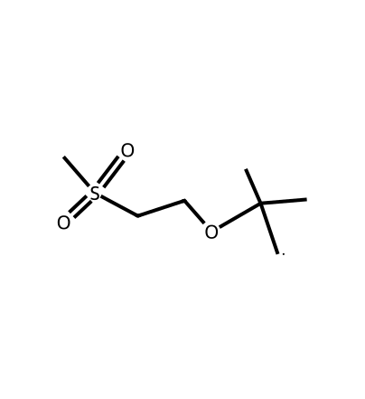 [CH2]C(C)(C)OCCS(C)(=O)=O